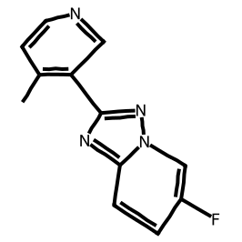 Cc1ccncc1-c1nc2ccc(F)cn2n1